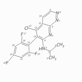 CC(C)Nc1nc2nnccc2c(Cl)c1-c1c(F)cc(F)cc1F